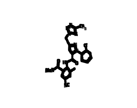 [C-]#[N+]c1cc(C)c(NC(=O)c2cc(Cn3nnc(C(F)(F)F)n3)nn2-c2ccccc2Cl)c(C(=O)NC)c1